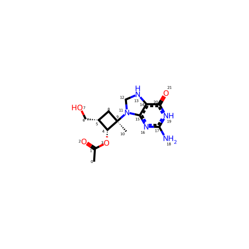 CC(=O)O[C@@H]1[C@H](CO)C[C@@]1(C)N1CNc2c1nc(N)[nH]c2=O